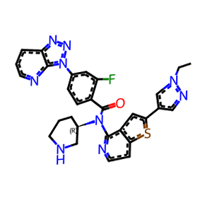 CCn1cc(-c2cc3c(N(C(=O)c4ccc(-n5nnc6cccnc65)cc4F)[C@@H]4CCCNC4)nccc3s2)cn1